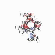 CC[C@H]1OC(=O)[C@H](C)[C@@H](O[C@H]2C[C@@](C)(OC)[C@@H](O)[C@H](C)O2)[C@H](C)[C@@H](O[C@@H]2O[C@H](C)C[C@H](N(C)C)[C@H]2O)[C@](C)(O)C[C@@H](C)CN(CCCNC(=O)NC(C)(C)C)[C@H](C)[C@@H](O)[C@]1(C)O